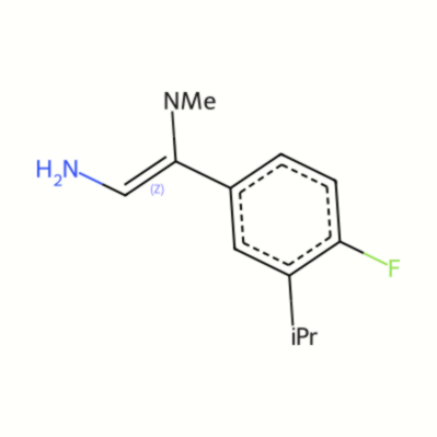 CN/C(=C\N)c1ccc(F)c(C(C)C)c1